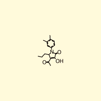 CCCC1C(C(C)=O)=C(O)C(=O)N1c1ccc(C)c(C)c1